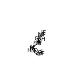 O=C(Cc1cccc(OC(F)(F)F)c1)Nc1nnc(CCC(F)Cn2cc(C(=O)NCc3ccc(C(F)(F)I)cn3)nn2)s1